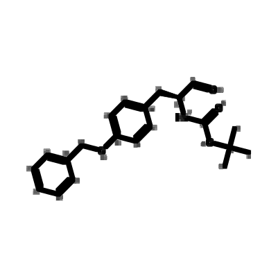 CC(C)(C)OC(=O)N[C@H]([C]=O)Cc1ccc(OCc2ccccc2)cc1